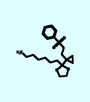 CCCCCCCC1(C2(CCS(=O)(=O)c3ccccc3)CC2)OCCO1